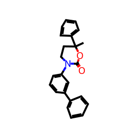 CC1(c2ccccc2)CCN(c2cccc(-c3ccccc3)c2)C(=O)O1